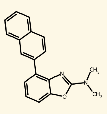 CN(C)c1nc2c(-c3ccc4ccccc4c3)cccc2o1